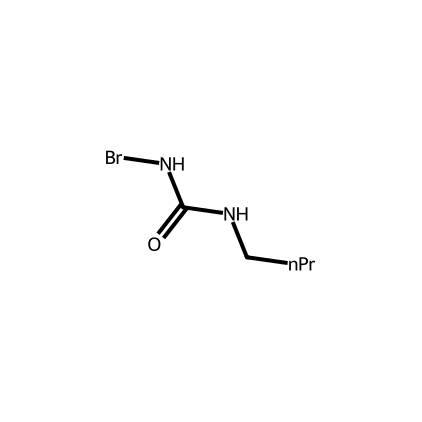 CCCCNC(=O)NBr